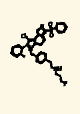 Cc1ccccc1-c1c(Cl)c2c3cnn(S(=O)(=O)c4ccccc4)c3ccc2n1Cc1ccc(CCNCCCF)cc1